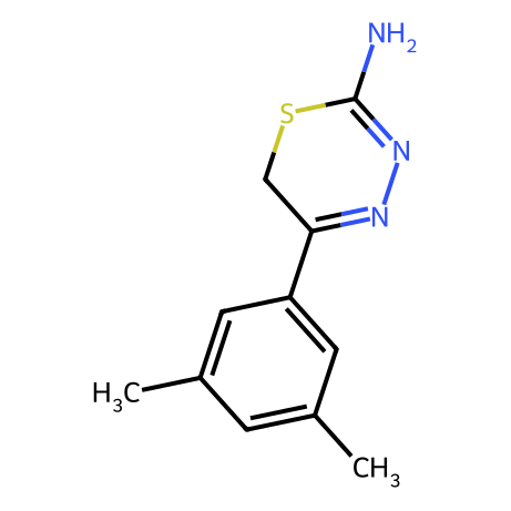 Cc1cc(C)cc(C2=NN=C(N)SC2)c1